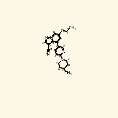 CCOc1cc(-c2ccc(N3CCC(C)CC3)nc2)c2c(C#N)cnn2c1